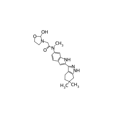 CN(C(=O)CN1CCOC1O)c1ccc2cc(-c3n[nH]c4c3CCC(C)(C)C4)[nH]c2c1